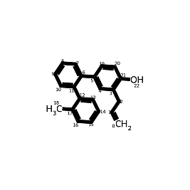 C=CCc1cc(-c2ccccc2-c2ccccc2C)ccc1O